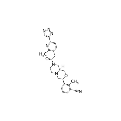 Cc1nc(-n2cnnn2)ccc1CC(=O)N1CCN2C[C@H](c3cccc(C#N)c3C)OC[C@@H]2C1